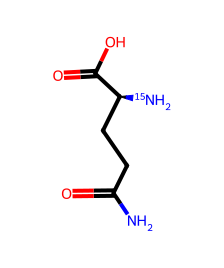 NC(=O)CC[C@H]([15NH2])C(=O)O